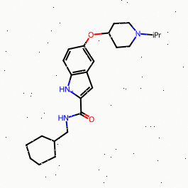 CC(C)N1CCC(Oc2ccc3[nH]c(C(=O)NCC4CCCCC4)cc3c2)CC1